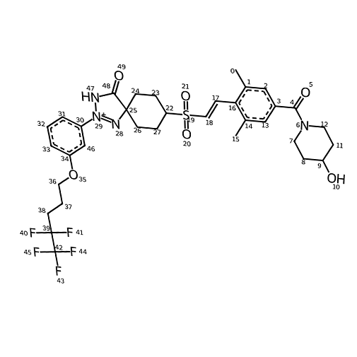 Cc1cc(C(=O)N2CCC(O)CC2)cc(C)c1/C=C/S(=O)(=O)C1CCC2(CC1)N=[N+](c1cccc(OCCCC(F)(F)C(F)(F)F)c1)NC2=O